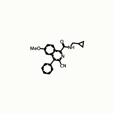 COc1ccc2c(C(=O)NCC3CC3)nc(C#N)c(-c3ccccc3)c2c1